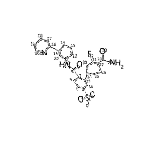 CS(=O)(=O)c1ccc(C(=O)Nc2cccc(-c3ccccn3)c2)c(-c2ccc(C(N)=O)c(F)c2)c1